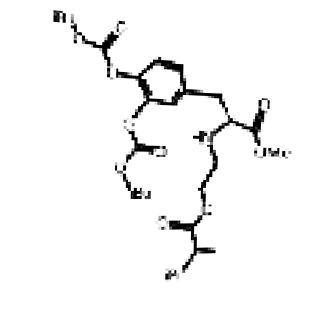 CCC(C)OC(=O)Oc1ccc(C[C@H](NCCOC(=O)C(C)C(C)C)C(=O)OC)cc1OC(=O)OC(C)CC